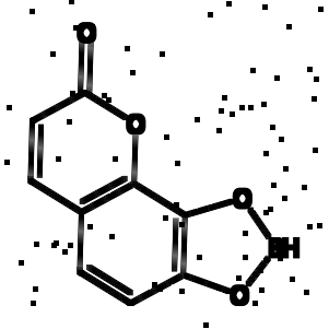 O=c1ccc2ccc3c(c2o1)OBO3